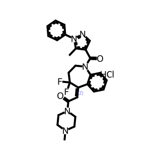 Cc1c(C(=O)N2CCC(F)(F)/C(=C\C(=O)N3CCN(C)CC3)c3ccccc32)cnn1-c1ccccc1.Cl